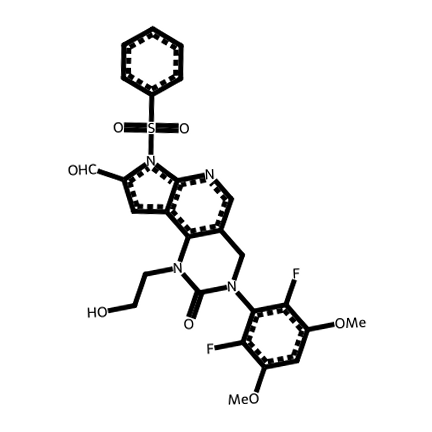 COc1cc(OC)c(F)c(N2Cc3cnc4c(cc(C=O)n4S(=O)(=O)c4ccccc4)c3N(CCO)C2=O)c1F